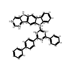 c1ccc(-c2ccc(-c3nc(-c4ccccc4)nc(-n4c5ccccc5c5cc6sc7cncnc7c6cc54)n3)cc2)cc1